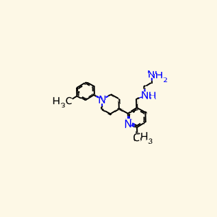 Cc1cccc(N2CCC(c3nc(C)ccc3CNCCN)CC2)c1